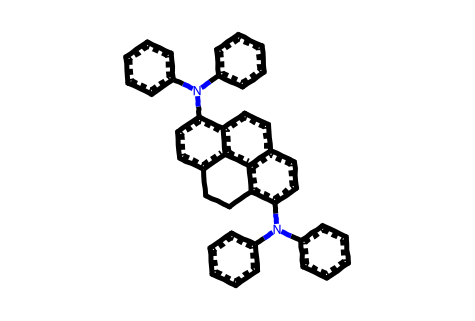 c1ccc(N(c2ccccc2)c2ccc3ccc4c(N(c5ccccc5)c5ccccc5)ccc5c4c3c2CC5)cc1